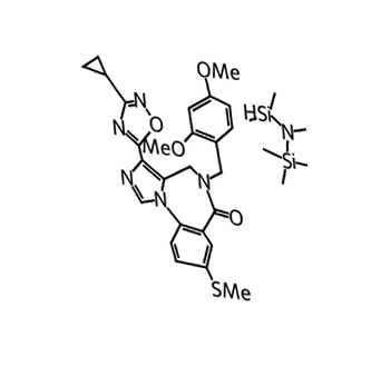 CN([SiH](C)C)[Si](C)(C)C.COc1ccc(CN2Cc3c(-c4nc(C5CC5)no4)ncn3-c3ccc(SC)cc3C2=O)c(OC)c1